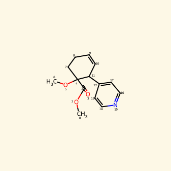 COC(=O)C1(OC)CCC=CC1c1ccncc1